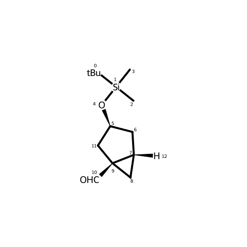 CC(C)(C)[Si](C)(C)O[C@H]1C[C@@H]2C[C@]2(C=O)C1